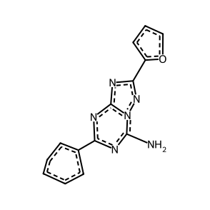 Nc1nc(-c2ccccc2)nc2nc(-c3ccco3)nn12